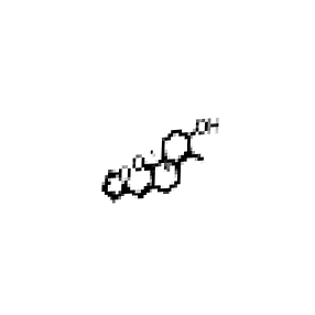 CC1=C2CCC(=Cc3ccco3)C(=O)[C@@]2(C)CCC1O